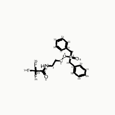 O=C(NCCOOP(=O)(Cc1ccccc1)Cc1ccccc1)C(F)(F)F